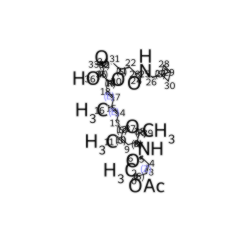 CC(=O)O[C@@H](C)/C=C\C(=O)N[C@@H]1C[C@H](C)[C@H](C/C=C(C)/C=C/[C@H]2O[C@H](CC(=O)NC[C@@]34C=C3C4)C[C@@]3(CO3)[C@@H]2O)O[C@@H]1C